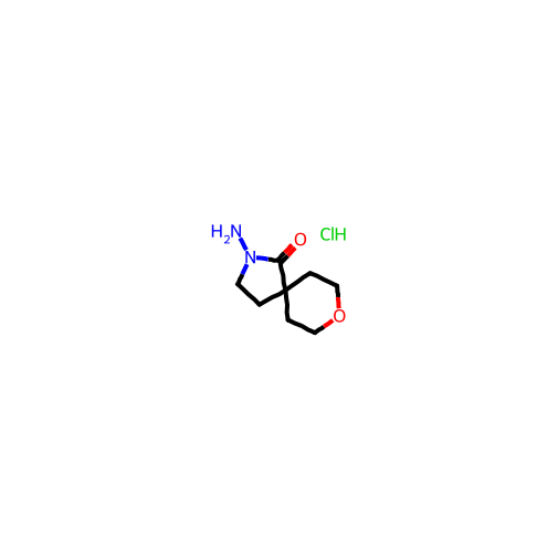 Cl.NN1CCC2(CCOCC2)C1=O